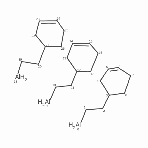 [AlH2][CH2]CC1CC=CCC1.[AlH2][CH2]CC1CC=CCC1.[AlH2][CH2]CC1CC=CCC1